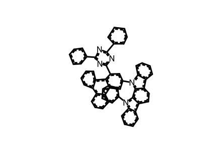 c1ccc(-c2nc(-c3ccccc3)nc(-c3cc(-n4c5ccccc5c5ccc6c7ccccc7n(-c7ccccc7)c6c54)cc4c5ccccc5c5ccccc5c34)n2)cc1